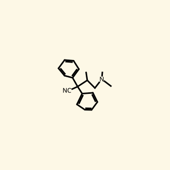 CC(CN(C)C)C(C#N)(c1ccccc1)c1ccccc1